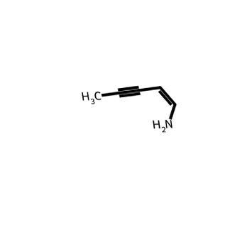 CC#C/C=C\N